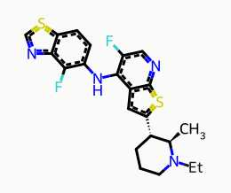 CCN1CCC[C@H](c2cc3c(Nc4ccc5scnc5c4F)c(F)cnc3s2)[C@H]1C